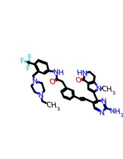 CCN1CCN(Cc2cc(NC(=O)Cc3cccc(C#Cc4cnc(N)nc4-c4cc5c(n4C)CCNC5=O)c3)ccc2C(F)(F)F)CC1